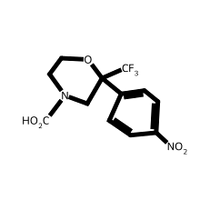 O=C(O)N1CCOC(c2ccc([N+](=O)[O-])cc2)(C(F)(F)F)C1